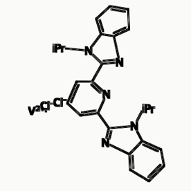 CC(C)n1c(-c2cccc(-c3nc4ccccc4n3C(C)C)n2)nc2ccccc21.[Cl-].[Cl-].[V+2]